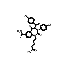 CC(c1ccc(Cl)cc1)N1C(=O)c2cc(C(N)=O)ccc2N(CCCCC(=O)O)C(=O)[C@@H]1c1ccc(Cl)cc1